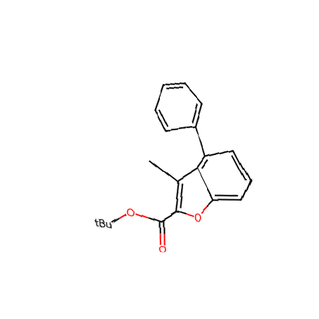 Cc1c(C(=O)OC(C)(C)C)oc2cccc(-c3ccccc3)c12